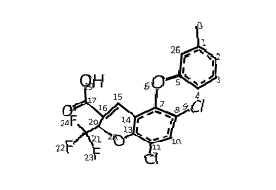 Cc1cccc(Oc2c(Cl)cc(Cl)c3c2C=C(C(=O)O)C(C(F)(F)F)O3)c1